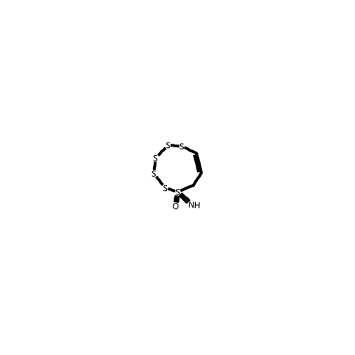 N=S1(=O)C/C=C\SSSSS1